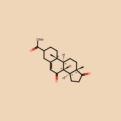 COC(=O)C1CC[C@@]2(C)C(=CC(=O)[C@@H]3[C@@H]2CC[C@]2(C)C(=O)CC[C@@H]32)C1